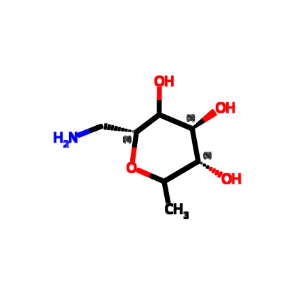 CC1O[C@H](CN)C(O)[C@@H](O)[C@@H]1O